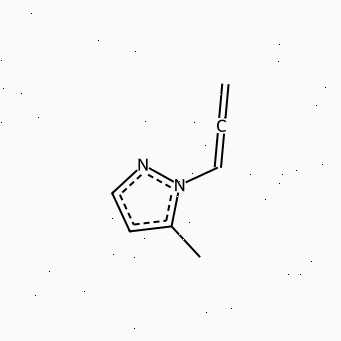 C=C=Cn1nccc1C